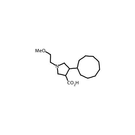 COCCN1CC(C(=O)O)C(C2CCCCCCCC2)C1